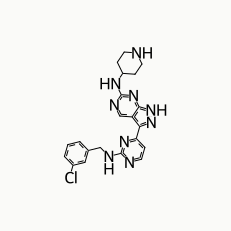 Clc1cccc(CNc2nccc(-c3n[nH]c4nc(NC5CCNCC5)ncc34)n2)c1